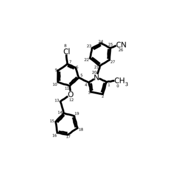 Cc1ccc(-c2cc(Cl)ccc2OCc2ccccc2)n1-c1cccc(C#N)c1